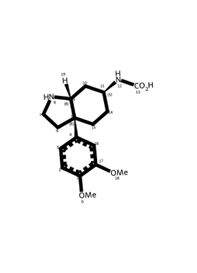 COc1ccc([C@@]23CCN[C@@H]2C[C@@H](NC(=O)O)CC3)cc1OC